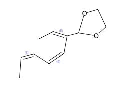 C\C=C/C=C\C(=C/C)C1OCCO1